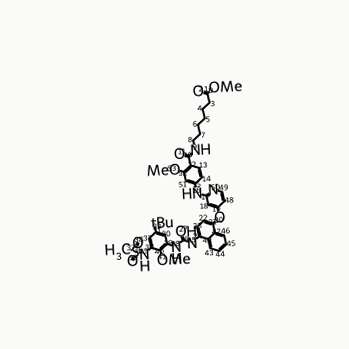 COC(=O)CCCCCCNC(=O)c1ccc(Nc2cc(Oc3ccc(NC(=O)Nc4cc(C(C)(C)C)cc(NS(C)(=O)=O)c4OC)c4ccccc34)ccn2)cc1OC